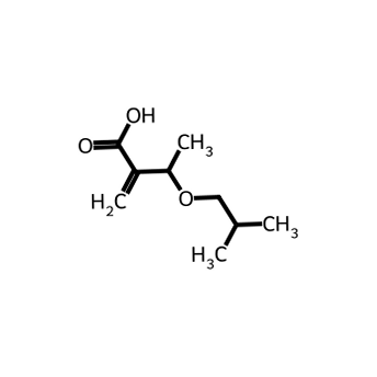 C=C(C(=O)O)C(C)OCC(C)C